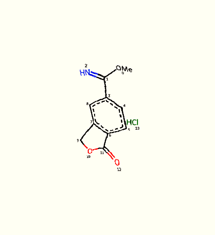 COC(=N)c1ccc2c(c1)COC2=O.Cl